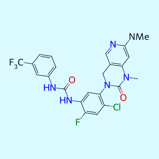 CNc1cc2c(cn1)CN(c1cc(NC(=O)Nc3cccc(C(F)(F)F)c3)c(F)cc1Cl)C(=O)N2C